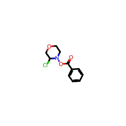 O=C(ON1CCOCC1Cl)c1ccccc1